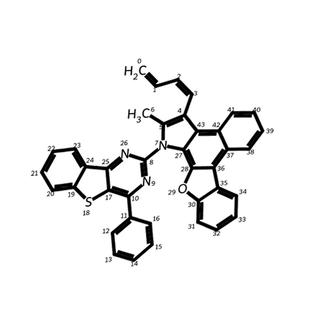 C=C/C=C\c1c(C)n(-c2nc(-c3ccccc3)c3sc4ccccc4c3n2)c2c3oc4ccccc4c3c3ccccc3c12